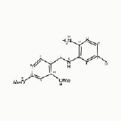 COc1ccc(CNc2cc(C)ccc2N)c(OC)c1